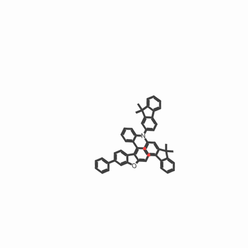 CC1(C)c2ccccc2-c2ccc(N(c3ccc4c(c3)C(C)(C)c3ccccc3-4)c3ccccc3-c3cccc4oc5cc(-c6ccccc6)ccc5c34)cc21